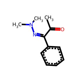 CC(=O)C(=NN(C)C)c1ccccc1